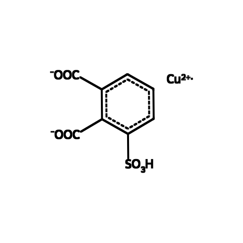 O=C([O-])c1cccc(S(=O)(=O)O)c1C(=O)[O-].[Cu+2]